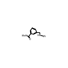 CNC(=O)c1cccc(CNC(C)C)c1